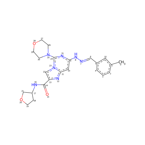 Cc1cccc(/C=N/Nc2cc3nc(C(=O)NC4CCOC4)cn3c(N3CCOCC3)n2)c1